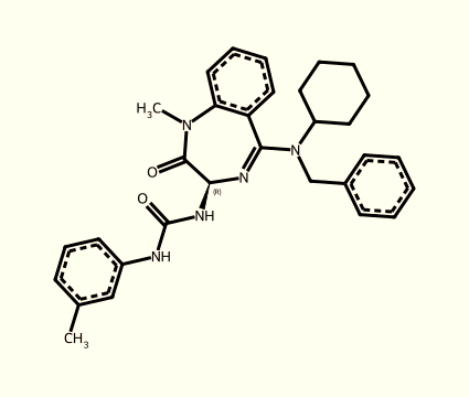 Cc1cccc(NC(=O)N[C@@H]2N=C(N(Cc3ccccc3)C3CCCCC3)c3ccccc3N(C)C2=O)c1